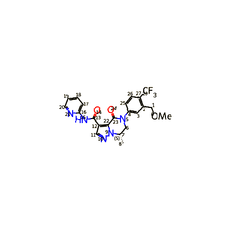 COCc1cc(N2C[C@H](C)n3ncc(C(=O)Nc4ccccn4)c3C2=O)ccc1C(F)(F)F